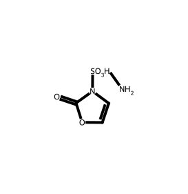 CN.O=c1occn1S(=O)(=O)O